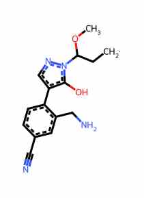 [CH2]CC(OC)n1ncc(-c2ccc(C#N)cc2CN)c1O